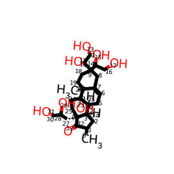 CC1C[C@H]2[C@@H]3CC=C4CC(C(O)CO)(C(O)CO)CC[C@]4(C)[C@]3(O)CC[C@]2(CC(O)CO)C1=O